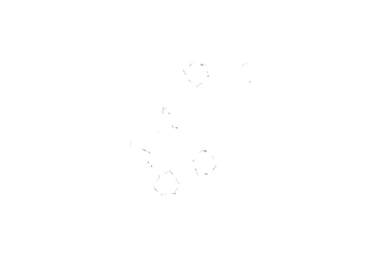 COc1cccc([C@H]2O[C@H](CC(=O)NCCc3ccc(OC(C)(C)C(=O)O)cc3)C(=O)N(CC(C)(C)CO)c3ccc(Cl)cc32)c1OC